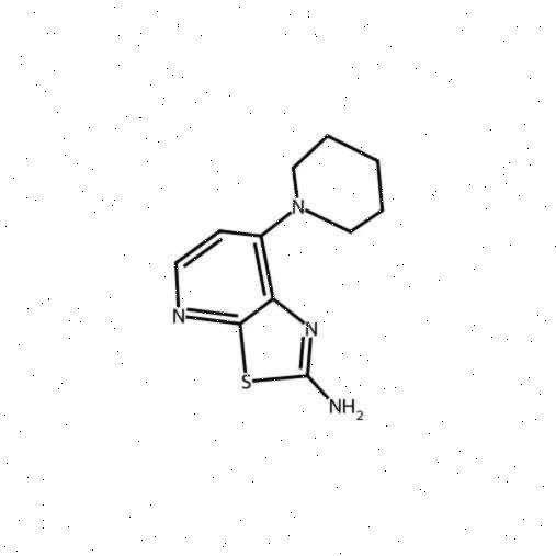 Nc1nc2c(N3CCCCC3)ccnc2s1